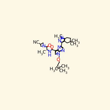 C[C@@H](NC(=O)c1cn(COCC[Si](C)(C)C)c2ncc(-c3nn(C)c4c3CC(C)(C)CC4)nc12)C(=O)N1CC(C#N)C1